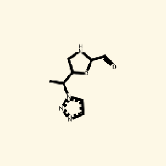 CC(C1CNC(C=O)O1)n1ccnn1